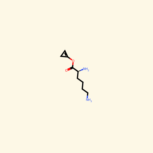 NCCCC[C@H](N)C(=O)OC1=CC1